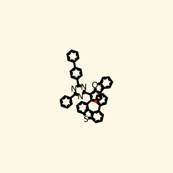 c1ccc(-c2ccc(-c3nc(-c4ccccc4)nc(-c4c(-c5cccc6sc7cccc(-c8ccccc8)c7c56)ccc5c4oc4ccccc45)n3)cc2)cc1